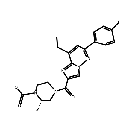 CCc1cc(-c2ccc(F)cc2)nn2cc(C(=O)N3CCN(C(=O)O)[C@@H](C)C3)nc12